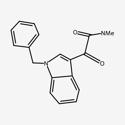 CNC(=O)C(=O)c1cn(Cc2ccccc2)c2ccccc12